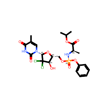 Cc1cn([C@@H]2O[C@H](CO[P@](=O)(N[C@H](C)C(=O)OC(C)C)Oc3ccccc3)[C@@H](O)C2(Cl)Cl)c(=O)[nH]c1=O